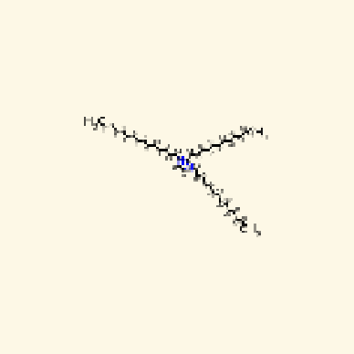 CCCCCCCCCCCCCCCN1C=CN(CCCCCCCCCCCCCC)C1CCCCCCCCCCCC